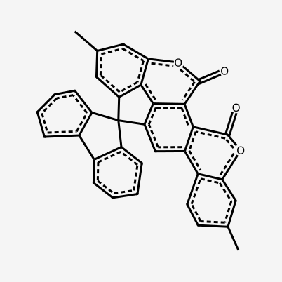 Cc1ccc2c(c1)oc(=O)c1c2cc2c3c4c(cc(C)cc4oc(=O)c31)C21c2ccccc2-c2ccccc21